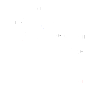 BC1CCCCC2C(CCN(C(C)C)C23COC3)C(C)(C(C)C)C1